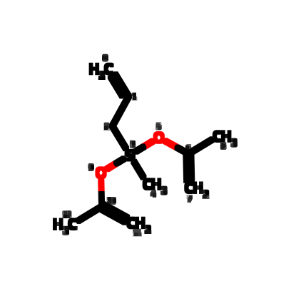 C=CC[Si](C)(OC(=C)C)OC(=C)C